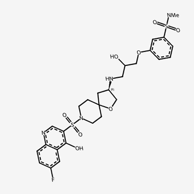 CNS(=O)(=O)c1cccc(OCC(O)CN[C@H]2COC3(CCN(S(=O)(=O)c4cnc5ccc(F)cc5c4O)CC3)C2)c1